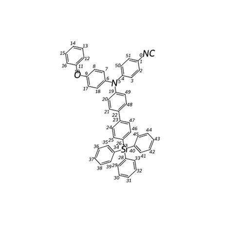 [C-]#[N+]c1ccc(N(c2ccc(Oc3ccccc3)cc2)c2ccc(-c3ccc([Si](c4ccccc4)(c4ccccc4)c4ccccc4)cc3)cc2)cc1